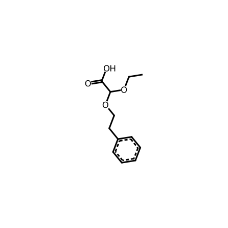 CCOC(OCCc1ccccc1)C(=O)O